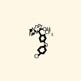 CCCC(O)C(c1ccc(Oc2ccc(Cl)cc2)cc1C(F)(F)F)n1cncn1